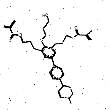 C=C(C)C(=O)OCCCc1cc(-c2ccc(C3CCC(C)CC3)cc2)cc(CCCOC(=O)C(=C)C)c1OCCCO